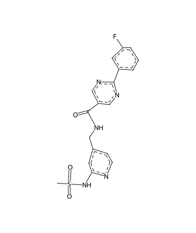 CS(=O)(=O)Nc1cc(CNC(=O)c2cnc(-c3cccc(F)c3)nc2)ccn1